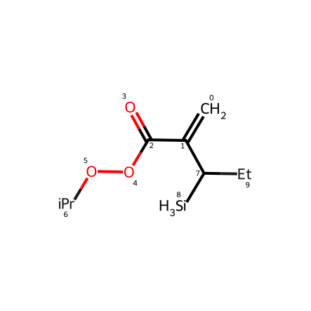 C=C(C(=O)OOC(C)C)C([SiH3])CC